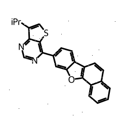 CC(C)c1csc2c(-c3ccc4c(c3)oc3c5ccccc5ccc43)ncnc12